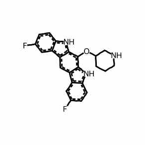 Fc1ccc2[nH]c3c(OC4CCCNC4)c4[nH]c5ccc(F)cc5c4cc3c2c1